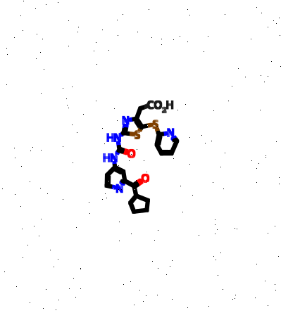 O=C(O)Cc1nc(NC(=O)Nc2ccnc(C(=O)C3CCCC3)c2)sc1Sc1ccccn1